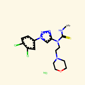 CCCNC(=S)N(CCN1CCOCC1)c1cn(-c2ccc(Cl)c(Cl)c2)nn1.Cl